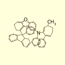 CC1C=C(N(c2ccccc2)c2ccc3oc4c(c3c2)=C(C2(c3ccccc3)c3ccccc3C3=CC=CCC32)CCC=4)C(c2ccccc2)=CCC1